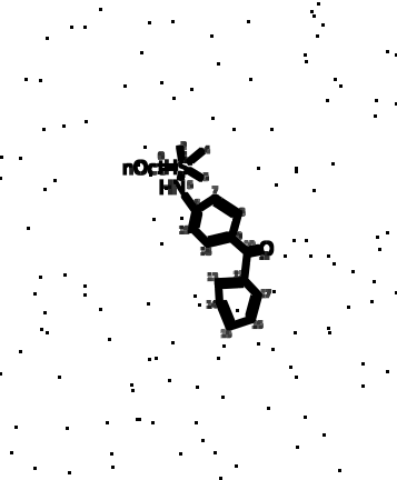 CCCCCCCC[SH](C)(C)(C)Nc1ccc(C(=O)c2ccccc2)cc1